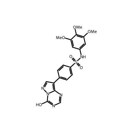 COc1cc(NS(=O)(=O)c2ccc(-c3cnn4c(O)ncnc34)cc2)cc(OC)c1OC